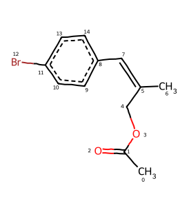 CC(=O)OCC(C)=Cc1ccc(Br)cc1